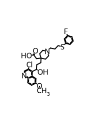 COc1ccc2ncc(Cl)c(C(O)CCC3(CC(=O)O)CCN(CCCSc4cccc(F)c4)CC3)c2c1